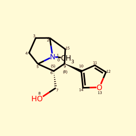 CN1C2CCC1[C@@H](CO)[C@H](c1ccoc1)C2